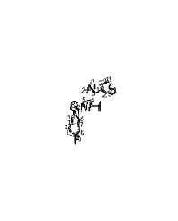 CN(C)[C@@H](CCNC(=O)n1cc2ccc(F)cc2c1)c1ccsc1